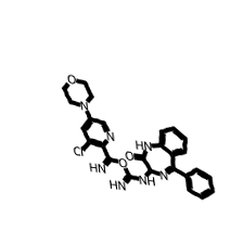 N=C(NC1N=C(c2ccccc2)c2ccccc2NC1=O)OC(=N)c1ncc(N2CCOCC2)cc1Cl